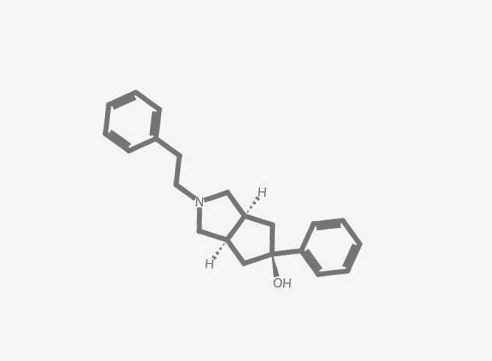 O[C@@]1(c2ccccc2)C[C@H]2CN(CCc3ccccc3)C[C@H]2C1